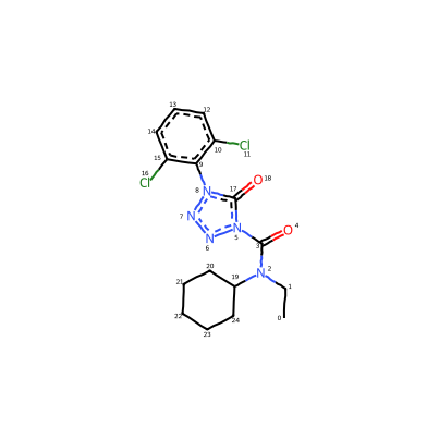 CCN(C(=O)n1nnn(-c2c(Cl)cccc2Cl)c1=O)C1CCCCC1